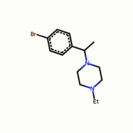 CCN1CCN(C(C)c2ccc(Br)cc2)CC1